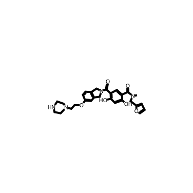 CN(Cc1ccco1)C(=O)c1cc(C(=O)N2Cc3ccc(OCCN4CCNCC4)cc3C2)c(O)cc1O